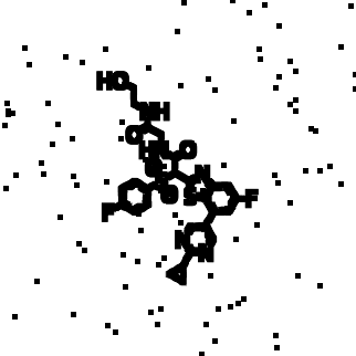 O=C(CNC(=O)C(c1nc2cc(F)cc(-c3cnc(C4CC4)nc3)c2s1)S(=O)(=O)c1ccc(F)cc1)NCCO